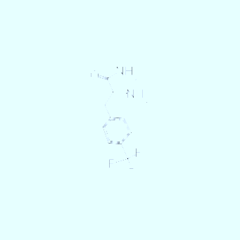 NC(=O)[C@H](N)Cc1ccc(C(F)(F)F)cc1